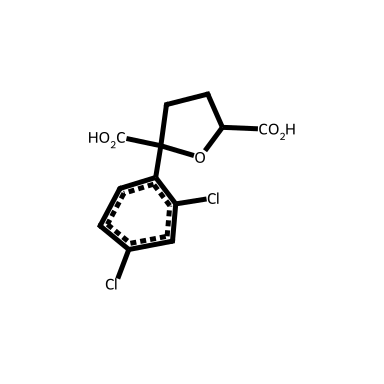 O=C(O)C1CCC(C(=O)O)(c2ccc(Cl)cc2Cl)O1